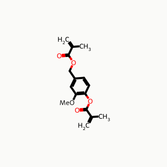 C=C(C)C(=O)OCc1ccc(OC(=O)C(=C)C)c(OC)c1